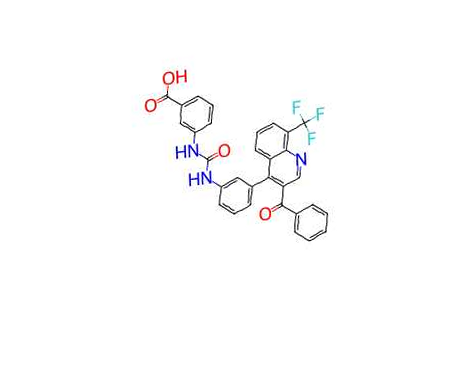 O=C(Nc1cccc(C(=O)O)c1)Nc1cccc(-c2c(C(=O)c3ccccc3)cnc3c(C(F)(F)F)cccc23)c1